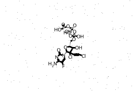 Nc1nc(=O)n([C@@H]2O[C@H](COP(=O)(O)OP(=O)(O)OP(=O)(O)O)C(O)C2(Cl)C#CCl)cc1F